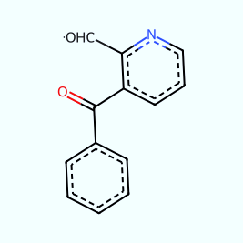 O=[C]c1ncccc1C(=O)c1ccccc1